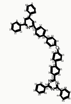 c1ccc(-c2cc(-c3ccccc3)nc(-c3ccc(-c4ccc(Oc5ccc(-c6ccc(-c7nc(-c8ccccc8)nc(-c8ccccc8)n7)cc6)cc5)cc4)cc3)c2)cc1